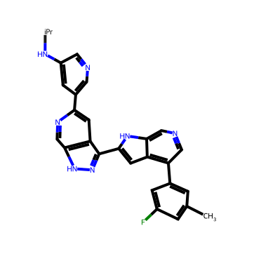 Cc1cc(F)cc(-c2cncc3[nH]c(-c4n[nH]c5cnc(-c6cncc(NC(C)C)c6)cc45)cc23)c1